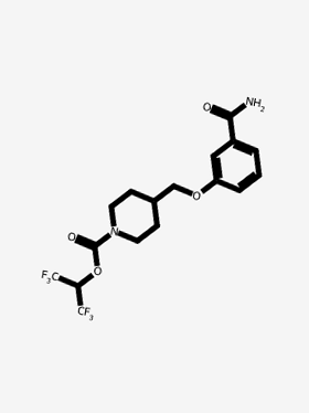 NC(=O)c1cccc(OCC2CCN(C(=O)OC(C(F)(F)F)C(F)(F)F)CC2)c1